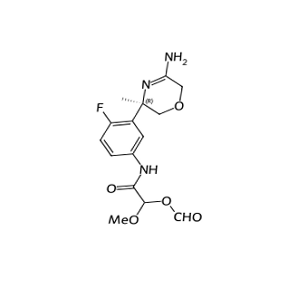 COC(OC=O)C(=O)Nc1ccc(F)c([C@]2(C)COCC(N)=N2)c1